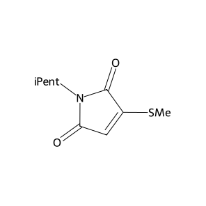 CCCC(C)N1C(=O)C=C(SC)C1=O